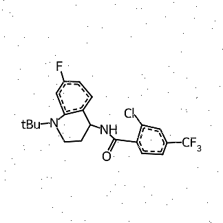 CC(C)(C)N1CCC(NC(=O)c2ccc(C(F)(F)F)cc2Cl)c2ccc(F)cc21